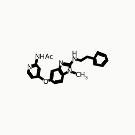 CC(=O)Nc1cc(Oc2ccc3c(c2)nc(NCCc2ccccc2)n3C)ccn1